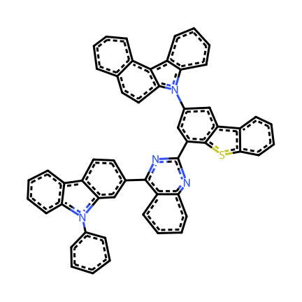 c1ccc(-n2c3ccccc3c3ccc(-c4nc(-c5cc(-n6c7ccccc7c7c8ccccc8ccc76)cc6c5sc5ccccc56)nc5ccccc45)cc32)cc1